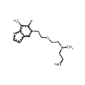 Cc1c(F)c(CCOCCN(C)CCO)cc2ccsc12